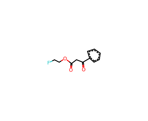 O=C(CC(=O)c1ccccc1)OCCF